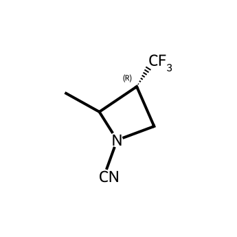 CC1[C@H](C(F)(F)F)CN1C#N